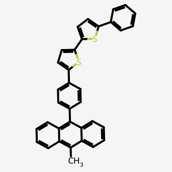 Cc1c2ccccc2c(-c2ccc(-c3ccc(-c4ccc(-c5ccccc5)s4)s3)cc2)c2ccccc12